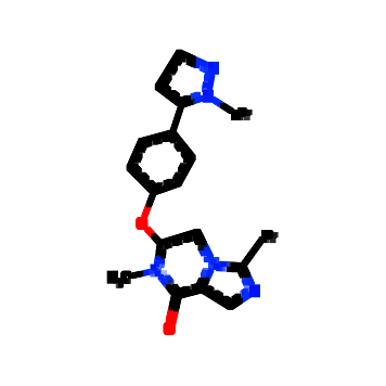 CCCn1nccc1-c1ccc(Oc2cn3c(C(C)C)ncc3c(=O)n2C)cc1